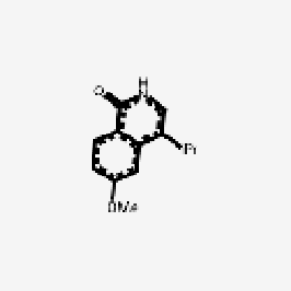 COc1ccc2c(=O)[nH]cc(C(C)C)c2c1